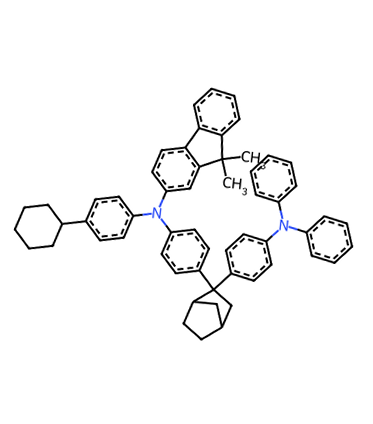 CC1(C)c2ccccc2-c2ccc(N(c3ccc(C4CCCCC4)cc3)c3ccc(C4(c5ccc(N(c6ccccc6)c6ccccc6)cc5)CC5CCC4C5)cc3)cc21